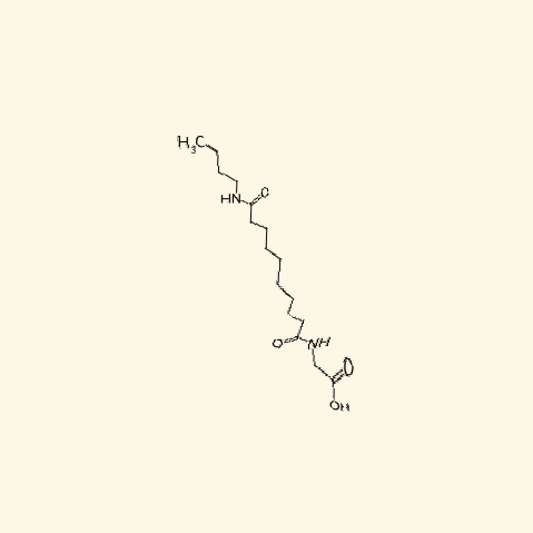 CCCCNC(=O)CCCCCCCCC(=O)NCC(=O)O